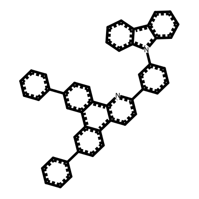 c1ccc(-c2ccc3c(c2)c2cc(-c4ccccc4)ccc2c2nc(-c4cccc(-n5c6ccccc6c6ccccc65)c4)ccc32)cc1